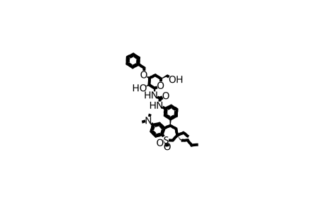 CCCC[C@@]1(CC)C[C@H](c2cccc(NC(=O)N[C@@H]3O[C@H](CO)C[C@H](OCc4ccccc4)[C@H]3O)c2)c2cc(N(C)C)ccc2S(=O)(=O)C1